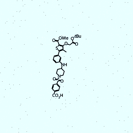 COC(=O)c1sc(-c2cccc(NC3CCN(S(=O)(=O)c4ccc(C(=O)O)cc4)CC3)c2)c(C)c1OCC(=O)OC(C)(C)C